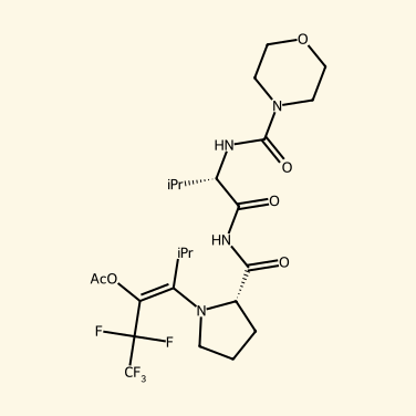 CC(=O)O/C(=C(\C(C)C)N1CCC[C@H]1C(=O)NC(=O)[C@@H](NC(=O)N1CCOCC1)C(C)C)C(F)(F)C(F)(F)F